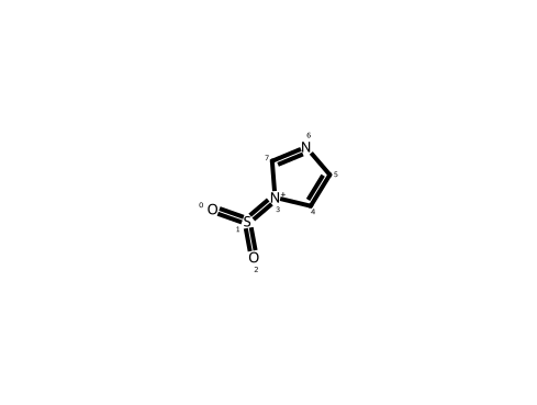 O=S(=O)=[N+]1C=CN=C1